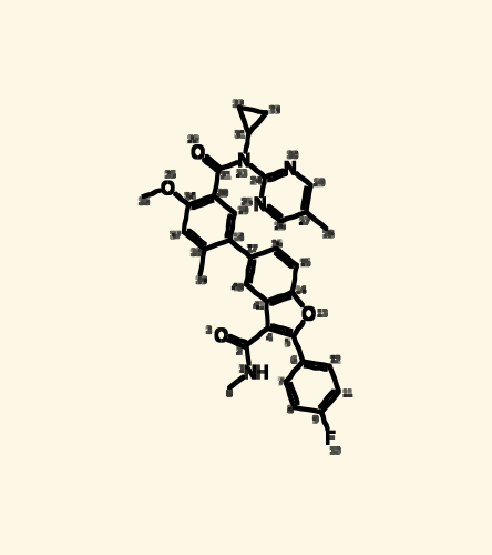 CNC(=O)c1c(-c2ccc(F)cc2)oc2ccc(-c3cc(C(=O)N(c4ncc(C)cn4)C4CC4)c(OC)cc3C)cc12